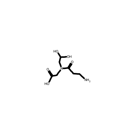 NCCC(=O)N(CC(=O)O)CC(O)O